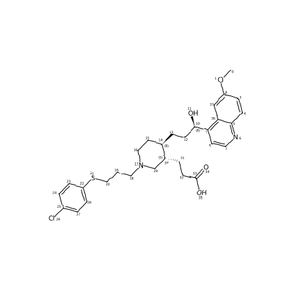 COc1ccc2nccc([C@H](O)CC[C@@H]3CCN(CCCSc4ccc(Cl)cc4)C[C@H]3CCC(=O)O)c2c1